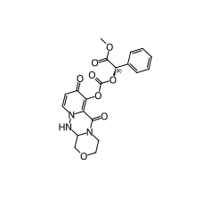 COC(=O)[C@H](OC(=O)Oc1c2n(ccc1=O)NC1COCCN1C2=O)c1ccccc1